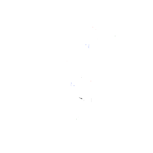 C[C@H]1c2c(Cl)cc(Cl)cc2CCN1C(=O)[C@H]1CN(C(=O)CCl)CCO1